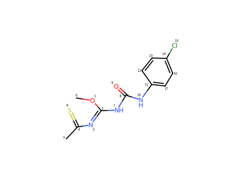 COC(=NC(C)=S)NC(=O)Nc1ccc(Cl)cc1